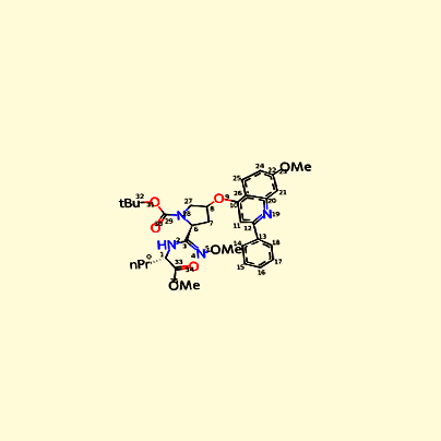 CCC[C@H](N/C(=N/OC)[C@@H]1CC(Oc2cc(-c3ccccc3)nc3cc(OC)ccc23)CN1C(=O)OC(C)(C)C)C(=O)OC